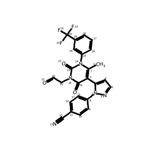 Cc1c(-c2ccnn2-c2ccc(C#N)cc2)c(=O)n(CC=O)c(=O)n1-c1cccc(C(F)(F)F)c1